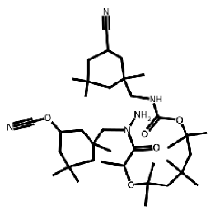 CC(OC(C)(C)CC(C)(C)CC(C)(C)OC(=O)NCC1(C)CC(C#N)CC(C)(C)C1)C(=O)N(N)CC1(C)CC(OC#N)CC(C)(C)C1